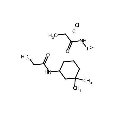 CCC(=O)NC1CCCC(C)(C)C1.CCC(=O)[NH][Ti+2].[Cl-].[Cl-]